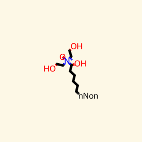 CCCCCCCCCCCCCCC(O)[N+]([O-])(CCO)CCO